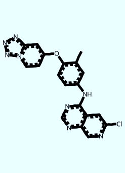 Cc1cc(Nc2ncnc3cnc(Cl)cc23)ccc1Oc1ccn2nnnc2c1